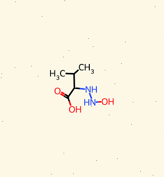 CC(C)C(NNO)C(=O)O